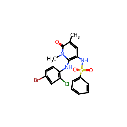 Cc1cc(NS(=O)(=O)c2ccccc2)c(Nc2ccc(Br)cc2Cl)n(C)c1=O